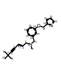 CN(C/C=C/C#CC(C)(C)C)Cc1cccc(OCc2cccs2)c1